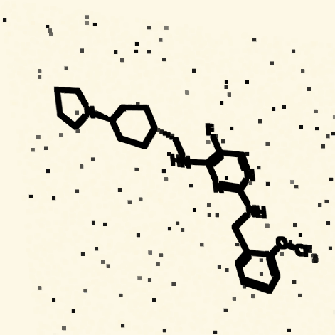 Fc1cnc(NCc2ccccc2OC(F)(F)F)nc1NC[C@H]1CC[C@H](N2CCCC2)CC1